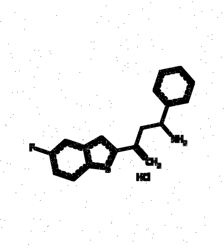 C=C(CC(N)c1ccccc1)c1cc2cc(F)ccc2s1.Cl